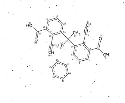 C#Cc1c(C(=O)O)cccc1C(C)(C)c1cccc(C(=O)O)c1C#C.c1ccccc1